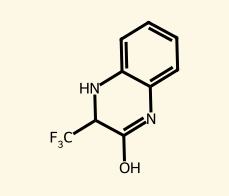 OC1=Nc2ccccc2NC1C(F)(F)F